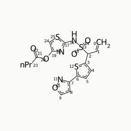 C=CC(c1ccc(-c2ccon2)s1)S(=O)(=O)Nc1nc(OC(=O)CCC)cs1